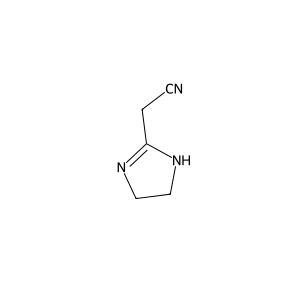 N#CCC1=NCCN1